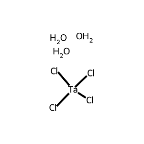 O.O.O.[Cl][Ta]([Cl])([Cl])[Cl]